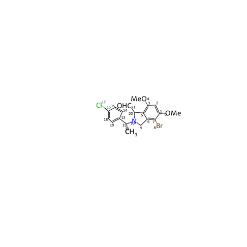 COc1cc(OC)c2c(c1Br)CN(C(C)c1ccc(Cl)cc1)C2C=O